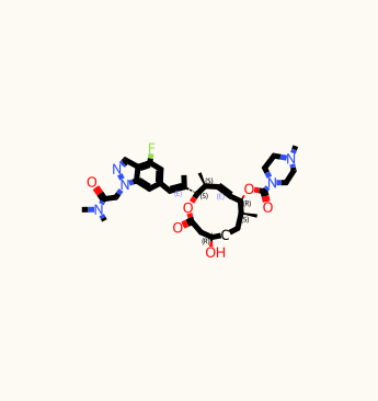 C/C(=C\c1cc(F)c2cnn(CC(=O)N(C)C)c2c1)[C@H]1OC(=O)C[C@H](O)CC[C@H](C)[C@@H](OC(=O)N2CCN(C)CC2)/C=C/[C@@H]1C